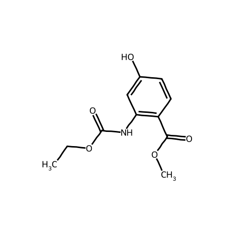 CCOC(=O)Nc1cc(O)ccc1C(=O)OC